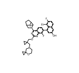 CCc1c(F)ccc2cc(O)cc(-c3ccc4c(N5CC6CCC(C5)N6)nc(OCC5(CN6CCOC7(CC7)C6)CC5)nc4c3F)c12